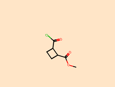 COC(=O)C1CCC1C(=O)Cl